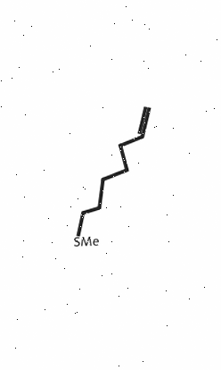 [CH2]SCCCCCC=C